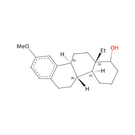 CC[C@]12CC[C@@H]3c4cc(OC)[c]cc4CC[C@H]3[C@@H]1CCCC2O